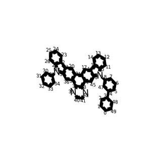 c1ccc(-c2cccc(-n3c4ccccc4c4cc5c6cc7c8ccccc8n(-c8ccccc8)c7cc6c6nccnc6c5cc43)c2)cc1